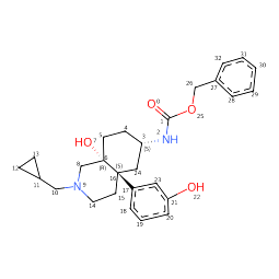 O=C(N[C@H]1CC[C@]2(O)CN(CC3CC3)CC[C@@]2(c2cccc(O)c2)C1)OCc1ccccc1